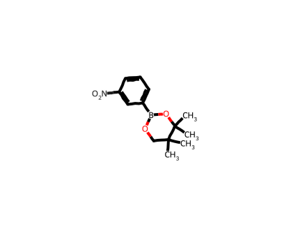 CC1(C)COB(c2cccc([N+](=O)[O-])c2)OC1(C)C